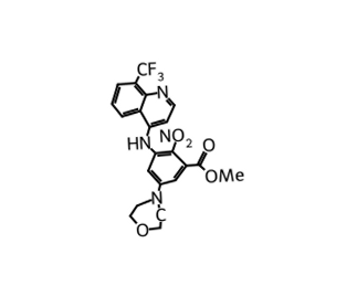 COC(=O)c1cc(N2CCOCC2)cc(Nc2ccnc3c(C(F)(F)F)cccc23)c1[N+](=O)[O-]